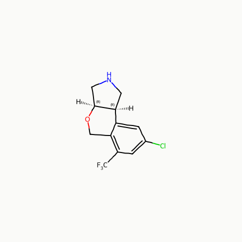 FC(F)(F)c1cc(Cl)cc2c1CO[C@H]1CNC[C@@H]21